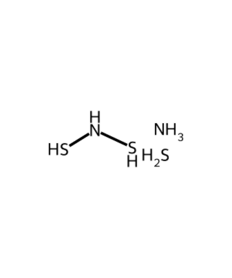 N.S.SNS